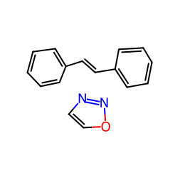 C(=Cc1ccccc1)c1ccccc1.c1conn1